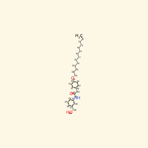 CCCCCCCCCCCCCCOc1ccc(CC(=O)Nc2cccc(CO)c2)cc1